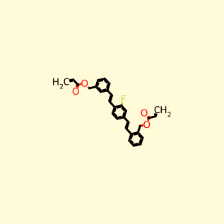 C=CC(=O)OCc1cccc(/C=C/c2ccc(/C=C/c3ccccc3COC(=O)C=C)cc2F)c1